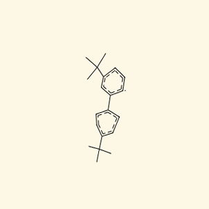 CC(C)(C)c1ccc(-c2[c]ccc(C(C)(C)C)c2)cc1